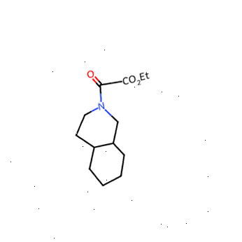 CCOC(=O)C(=O)N1CCC2CCCCC2C1